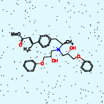 COC(=O)/C=C(\C)c1ccc(C[C@@H](C)N(C[C@H](O)COc2ccccc2)C[C@H](O)COc2ccccc2)cc1